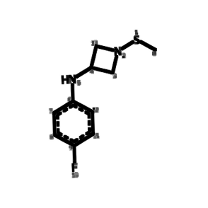 CSN1CC(Nc2ccc(F)cc2)C1